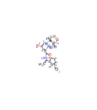 C[C@@H](NC(=O)C1=CC(Br)=CN2C1=N[C@@H]1COCC[C@@H]12)c1cccc(C(F)(F)F)c1F